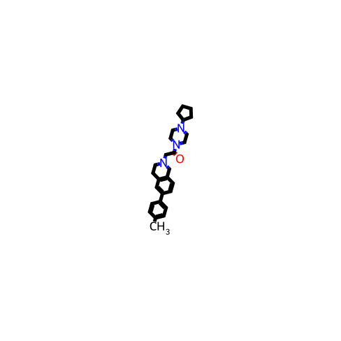 Cc1ccc(-c2ccc3c(c2)CCN(CC(=O)N2CCN(C4CCCC4)CC2)C3)cc1